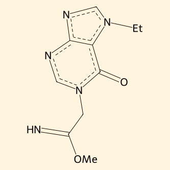 CCn1cnc2ncn(CC(=N)OC)c(=O)c21